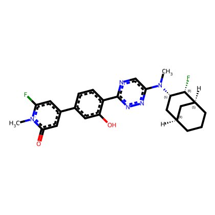 CN(c1cnc(-c2ccc(-c3cc(F)n(C)c(=O)c3)cc2O)nn1)[C@H]1C[C@@H]2CCC[C@@H](C2)[C@H]1F